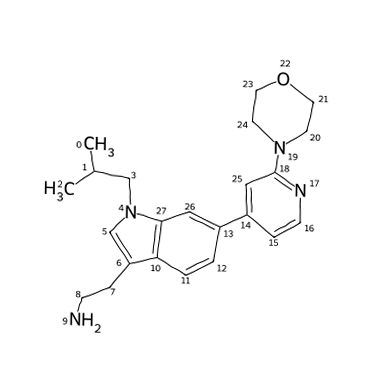 CC(C)Cn1cc(CCN)c2ccc(-c3ccnc(N4CCOCC4)c3)cc21